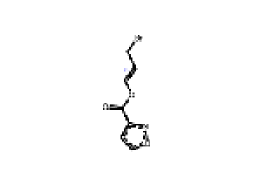 O=C(O/C=C/CBr)c1ccon1